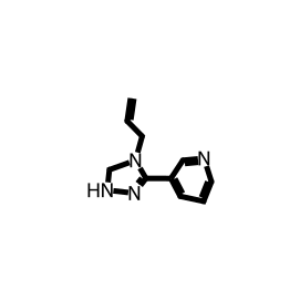 C=CCN1CNN=C1c1cccnc1